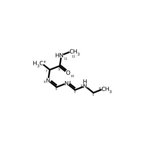 CCN/C=N/C=N\C(C)C(=O)NC